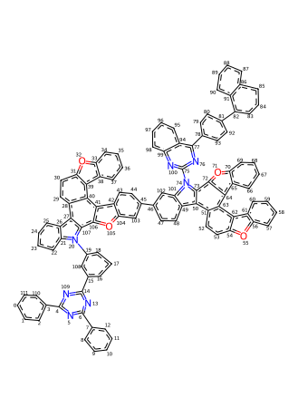 c1ccc(-c2nc(-c3ccccc3)nc(-c3cccc(-n4c5ccccc5c5c6ccc7oc8ccccc8c7c6c6c7ccc(-c8ccc9c%10c%11ccc%12oc%13ccccc%13c%12c%11c%11c%12ccccc%12oc%11c%10n(-c%10nc(-c%11ccc(-c%12cccc%13ccccc%12%13)cc%11)c%11ccccc%11n%10)c9c8)cc7oc6c54)c3)n2)cc1